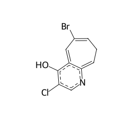 Oc1c(Cl)cnc2c1=CC(Br)=CCC=2